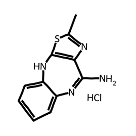 Cc1nc2c(s1)Nc1ccccc1N=C2N.Cl